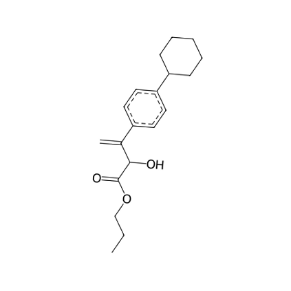 C=C(c1ccc(C2CCCCC2)cc1)C(O)C(=O)OCCC